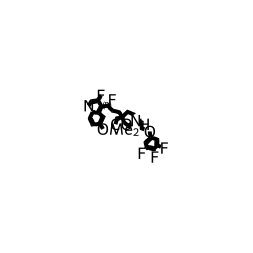 COc1ccc2ncc(F)c([C@H](F)CCC3(CC(=O)O)CCN(CCOc4cc(F)c(F)c(F)c4)CC3)c2c1